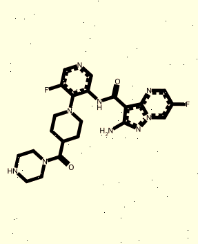 Nc1nn2cc(F)cnc2c1C(=O)Nc1cncc(F)c1N1CCC(C(=O)N2CCNCC2)CC1